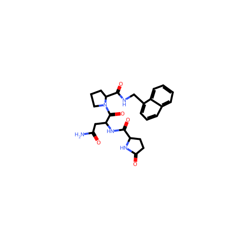 NC(=O)CC(NC(=O)C1CCC(=O)N1)C(=O)N1CCCC1C(=O)NCc1cccc2ccccc12